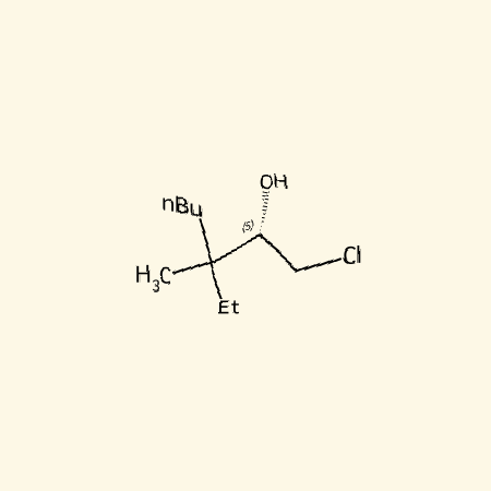 CCCCC(C)(CC)[C@H](O)CCl